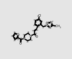 Cc1nnn(Cc2cc(Cl)ccc2/C=C/C(=O)N2CCN(C(=O)c3ccco3)CC2)n1